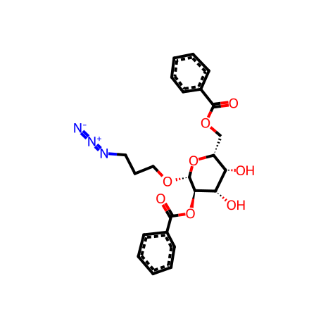 [N-]=[N+]=NCCCO[C@@H]1O[C@H](COC(=O)c2ccccc2)[C@H](O)[C@H](O)[C@H]1OC(=O)c1ccccc1